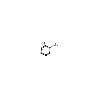 CC(C)(C)c1cc[c]cc1.[KH]